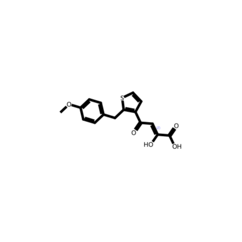 COc1ccc(Cc2sccc2C(=O)/C=C(\O)C(=O)O)cc1